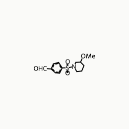 COC1CCCN(S(=O)(=O)c2ccc(C=O)cc2)C1